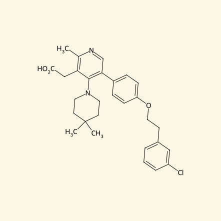 Cc1ncc(-c2ccc(OCCc3cccc(Cl)c3)cc2)c(N2CCC(C)(C)CC2)c1CC(=O)O